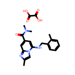 Cc1cn2c(NCc3ccccc3C)cc(C(=O)N(C)C)cc2n1.O=C(O)C(=O)O